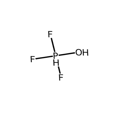 O[PH](F)(F)F